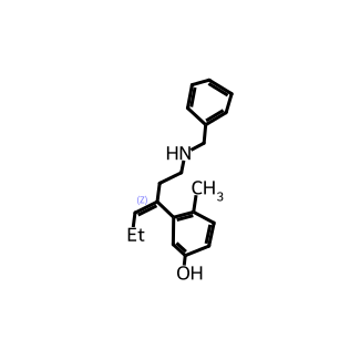 CC/C=C(/CCNCc1ccccc1)c1cc(O)ccc1C